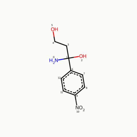 NC(O)(CCO)c1ccc([N+](=O)[O-])cc1